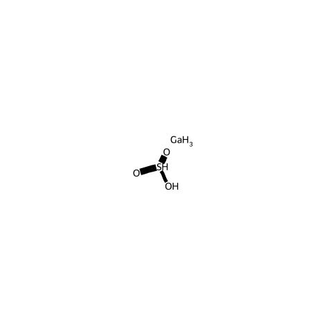 O=[SH](=O)O.[GaH3]